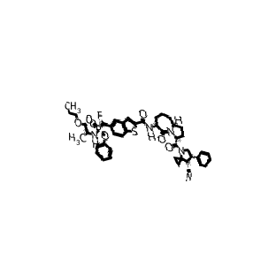 CCCOC(=O)[C@H](C)NP(=O)(Oc1ccccc1)[C@@H](F)c1ccc2sc(C(=O)N[C@H]3CCC[C@H]4CC[C@@H](C(=O)N5C[C@@H](c6ccccc6)[C@H](C#N)C56CC6)N4C3=O)cc2c1